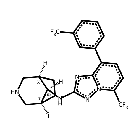 FC(F)(F)c1cccc(-c2ccc(C(F)(F)F)n3nc(N[C@@H]4[C@@H]5CC[C@H]4CNC5)nc23)c1